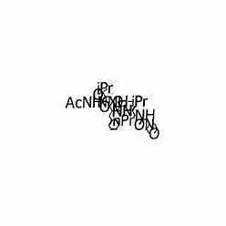 C=C(N[C@@H](CC(C)C)C(=O)N[C@@H](Cc1ccccc1)C(=O)N[C@@H](CC(C)C)/C(=N/NC(C)=O)[C@@]1(C)CO1)[C@H](CCC)NC(=O)CN1CCOCC1